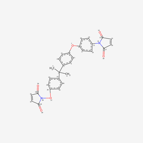 CC(C)(c1ccc(Oc2ccc(N3C(=O)C=CC3=O)cc2)cc1)c1ccc(ON2C(=O)C=CC2=O)cc1